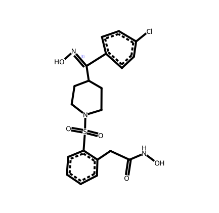 O=C(Cc1ccccc1S(=O)(=O)N1CCC(/C(=N\O)c2ccc(Cl)cc2)CC1)NO